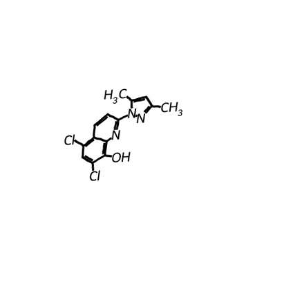 Cc1cc(C)n(-c2ccc3c(Cl)cc(Cl)c(O)c3n2)n1